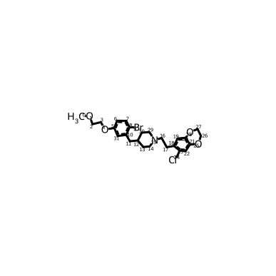 COCCOc1ccc(Br)c(CC2CCN(CCc3cc4c(cc3Cl)OCCO4)CC2)c1